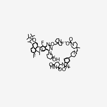 CCc1c(F)ccc2cc(O[Si](C(C)C)(C(C)C)C(C)C)cc(-c3ncc4c(N5CCC[C@@](C)(O)C5)nc(OC[C@@]56CCCN5[C@H](COC(=O)N5CCC(C)(CN7CCC(c8ccc9c(c8)n(C)c(=O)n9C8CCC(=O)NC8=O)CC7)CC5)CC6)nc4c3F)c12